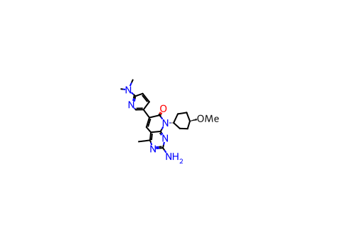 CO[C@H]1CC[C@H](n2c(=O)c(-c3ccc(N(C)C)nc3)cc3c(C)nc(N)nc32)CC1